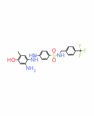 Cc1cc(NNc2ccc(S(=O)(=O)NCc3ccc(C(F)(F)F)cc3)cc2)c(N)cc1O